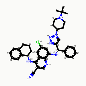 CC(C)(C)N1CCC(n2cc([C@@H](Nc3cc(Cl)cc4c(N[C@@H]5CCCc6ccccc65)c(C#N)cnc34)c3ccccc3)nn2)CC1